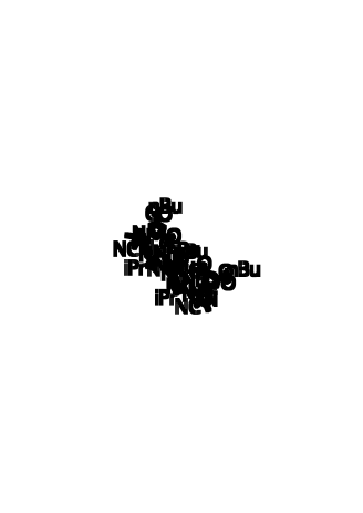 CCCCOC(=O)c1cc(C(=O)OCCCC)cc(-n2nc(C)c(C#N)c2N=Nc2c(C(C)C)nn(-c3nc(OCCCC)nc(-n4nc(C(C)C)c(N=Nc5c(C#N)c(C)nn5-c5cc(C(=O)OCCCC)cc(C(=O)OCCCC)c5)c4N)n3)c2N)c1